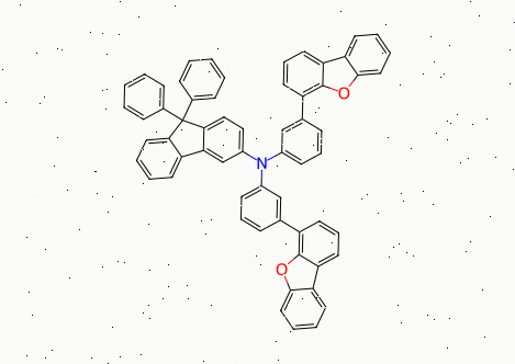 c1ccc(C2(c3ccccc3)c3ccccc3-c3cc(N(c4cccc(-c5cccc6c5oc5ccccc56)c4)c4cccc(-c5cccc6c5oc5ccccc56)c4)ccc32)cc1